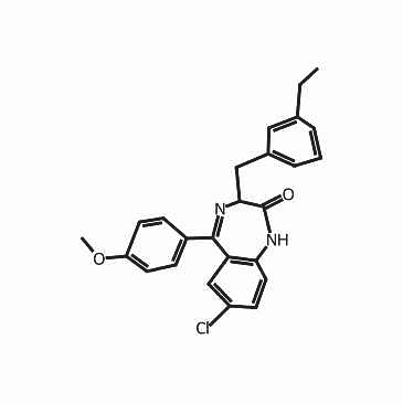 CCc1cccc(CC2N=C(c3ccc(OC)cc3)c3cc(Cl)ccc3NC2=O)c1